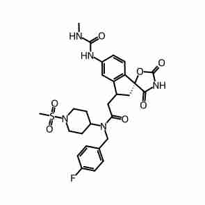 CNC(=O)Nc1ccc2c(c1)C(CC(=O)N(Cc1ccc(F)cc1)C1CCN(S(C)(=O)=O)CC1)C[C@@]21OC(=O)NC1=O